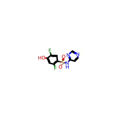 O=S(=O)(Nc1ccncn1)c1cc(F)c(O)cc1F